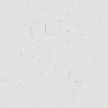 CC[C@@H](C)C(=O)c1ccc(C2=CC(C)/C(=C(\C=C/N)C3=CC(C(C)(C)O)N(C)C=C3)O2)cc1